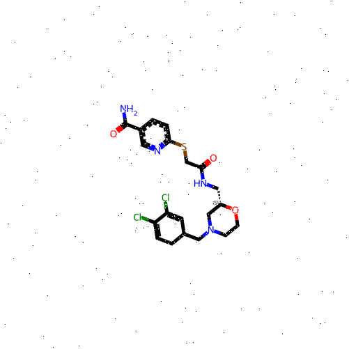 NC(=O)c1ccc(SCC(=O)NC[C@H]2CN(CC3C=C(Cl)C(Cl)=CC3)CCO2)nc1